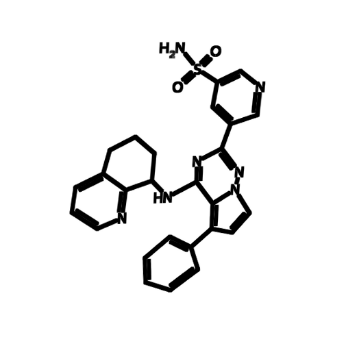 NS(=O)(=O)c1cncc(-c2nc(NC3CCCc4cccnc43)c3c(-c4ccccc4)ccn3n2)c1